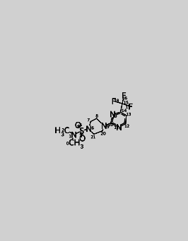 CN(C)S(=O)(=O)N1CCN(c2nccc(C(F)(F)F)n2)CC1